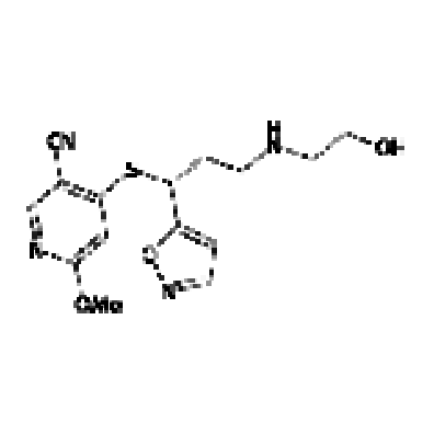 COc1cc(S[C@H](CCNCCO)c2ccno2)c(C#N)cn1